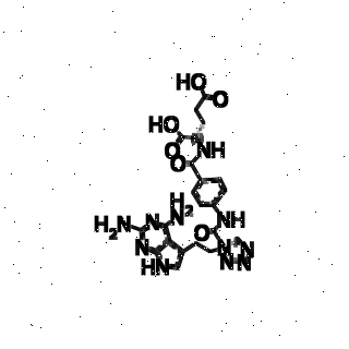 Nc1nc(N)c2c(CC[N+]3(C(=O)Nc4ccc(C(=O)N[C@@H](CCC(=O)O)C(=O)O)cc4)C=NN=N3)c[nH]c2n1